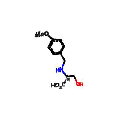 COc1ccc(CN[C@H](CO)C(=O)O)cc1